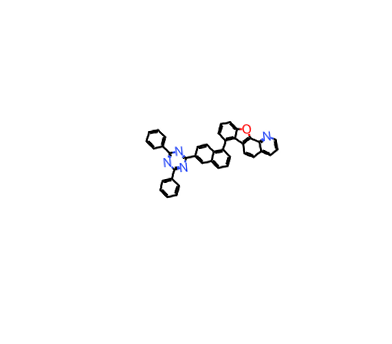 c1ccc(-c2nc(-c3ccccc3)nc(-c3ccc4c(-c5cccc6oc7c(ccc8cccnc87)c56)cccc4c3)n2)cc1